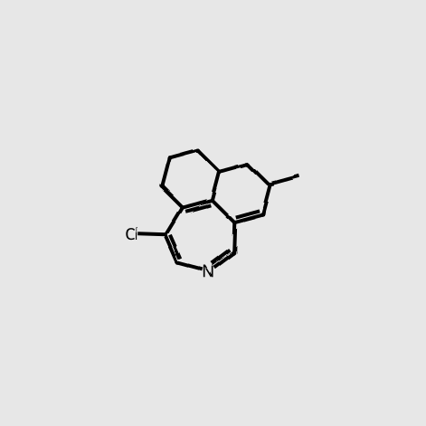 CC1C=C2C=NC=C(Cl)C3=C2C(CCC3)C1